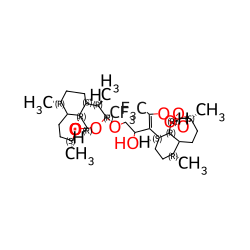 C[C@@H]1CC[C@H]2C(C(O)CO[C@@]3(C(F)(F)F)O[C@@H]4O[C@]5(C)CCC6[C@H](C)CC[C@@H]([C@H]3C)[C@]64OO5)=C(C(F)(F)F)O[C@@H]3O[C@]4(C)CCC1[C@]32OO4